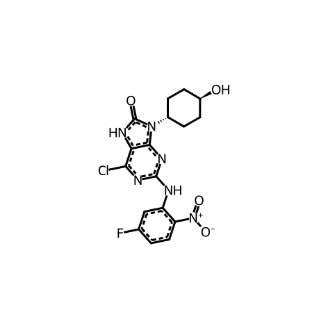 O=c1[nH]c2c(Cl)nc(Nc3cc(F)ccc3[N+](=O)[O-])nc2n1[C@H]1CC[C@H](O)CC1